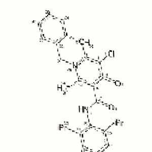 Cc1c(Cl)c(=O)c(C(=O)Nc2c(C(C)C)cccc2C(C)C)c(C)n1Cc1ccccc1